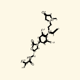 CCN(CCN1CC(=O)CN1C)c1c(F)cc(N2C[C@H](CNC(=O)C(F)F)OC2=O)cc1F